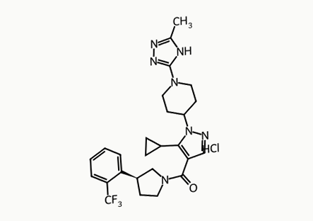 Cc1nnc(N2CCC(n3ncc(C(=O)N4CC[C@@H](c5ccccc5C(F)(F)F)C4)c3C3CC3)CC2)[nH]1.Cl